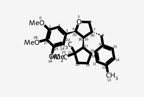 COc1cc([C@H]2OC[C@H](Cc3ccc(C)cc3)[C@H]2C2CCCC2(C)C(=O)O)cc(OC)c1OC